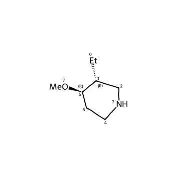 CC[C@@H]1CNCC[C@H]1OC